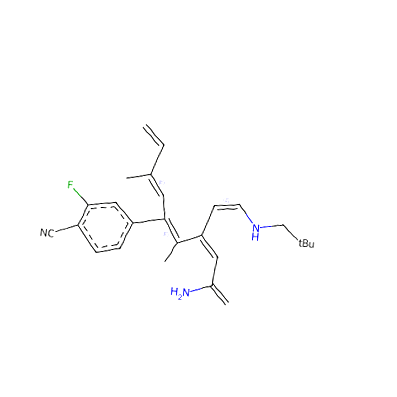 C=C/C(C)=C/C(=C(/C)C(=CC(=C)N)/C=C\NCC(C)(C)C)c1ccc(C#N)c(F)c1